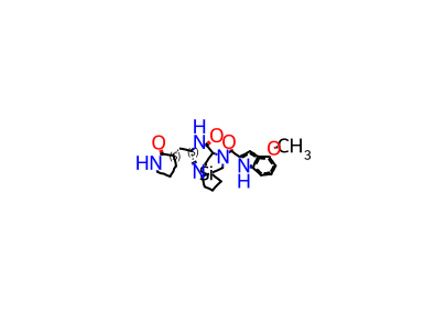 COc1cccc2[nH]c(C(=O)N3C[Si]4(CCCC4)CC3C(=O)N[C@H](C#N)C[C@@H]3CCCNC3=O)cc12